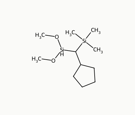 CO[SiH](OC)C(C1CCCC1)[Si](C)(C)C